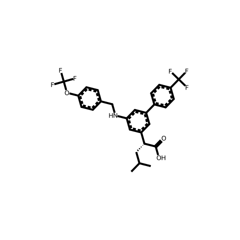 CC(C)C[C@@H](C(=O)O)c1cc(NCc2ccc(OC(F)(F)F)cc2)cc(-c2ccc(C(F)(F)F)cc2)c1